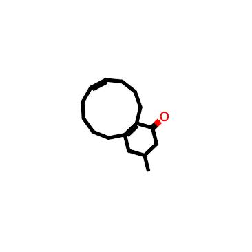 CC1CC(=O)C2=C(CCCCC=CCCC2)C1